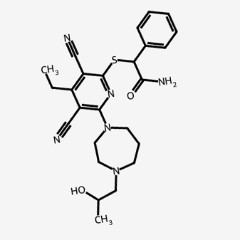 CCc1c(C#N)c(SC(C(N)=O)c2ccccc2)nc(N2CCCN(CC(C)O)CC2)c1C#N